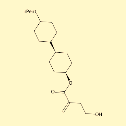 C=C(CCO)C(=O)O[C@H]1CC[C@@H](C2CCC(CCCCC)CC2)CC1